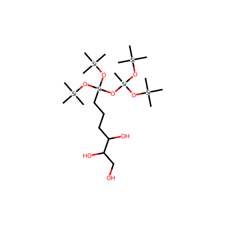 C[Si](C)(C)O[Si](C)(O[Si](C)(C)C)O[Si](CCCC(O)C(O)CO)(O[Si](C)(C)C)O[Si](C)(C)C